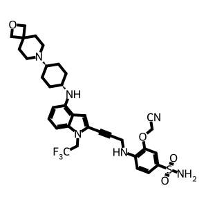 N#CCOc1cc(S(N)(=O)=O)ccc1NCC#Cc1cc2c(N[C@H]3CC[C@@H](N4CCC5(CC4)COC5)CC3)cccc2n1CC(F)(F)F